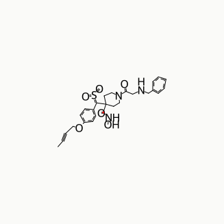 CC#CCOc1ccc(C(=S(=O)=O)C2(C(=O)NO)CCN(C(=O)CNCc3ccccc3)CC2)cc1